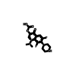 CN(C)n1cc(OC(=O)O)c(=O)c2cc(F)c(N3CCNCC3)c(F)c21